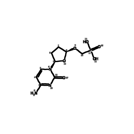 Nc1ccn([C@H]2CC[C@@H](OCP(=O)(O)O)O2)c(=O)n1